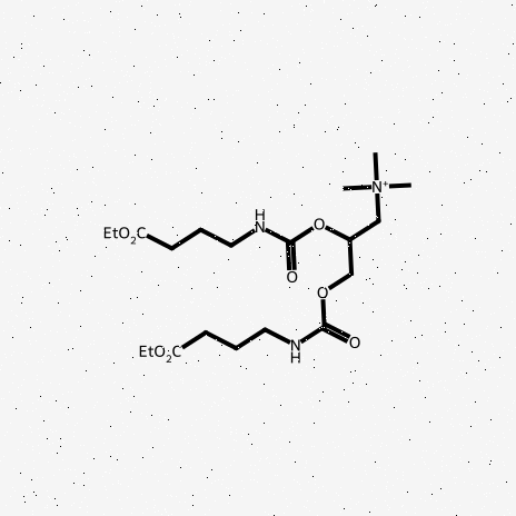 CCOC(=O)CCCNC(=O)OCC(C[N+](C)(C)C)OC(=O)NCCCC(=O)OCC